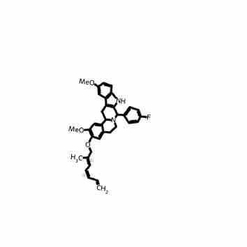 C=C/C=C\C=C(/C)COc1cc2c(cc1OC)C1Cc3c([nH]c4ccc(OC)cc34)C(c3ccc(F)cc3)N1CC2